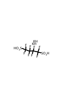 O=S(=O)(O)C(F)(F)C(F)(F)C(F)(F)C(F)(F)S(=O)(=O)O.[KH].[KH]